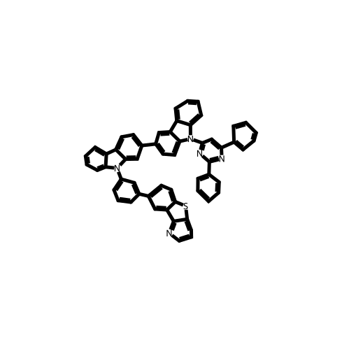 c1ccc(-c2cc(-n3c4ccccc4c4cc(-c5ccc6c7ccccc7n(-c7cccc(-c8ccc9sc%10cccnc%10c9c8)c7)c6c5)ccc43)nc(-c3ccccc3)n2)cc1